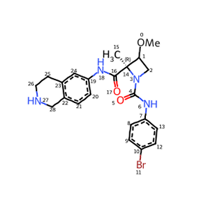 COC1CN(C(=O)Nc2ccc(Br)cc2)[C@@]1(C)C(=O)Nc1ccc2c(c1)CCNC2